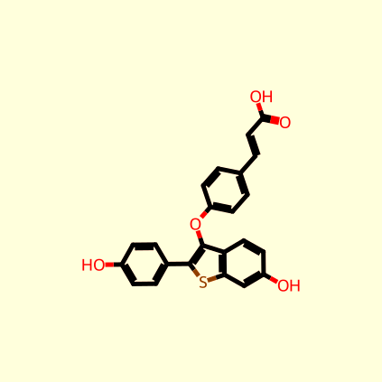 O=C(O)C=Cc1ccc(Oc2c(-c3ccc(O)cc3)sc3cc(O)ccc23)cc1